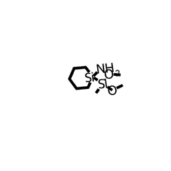 CO[Si](C)(OC)[Si]1(N)CCCCC1